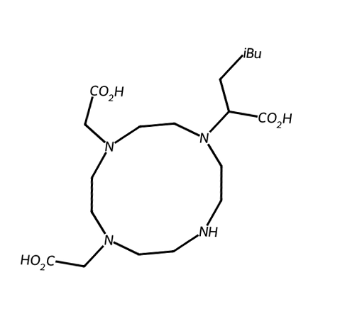 CCC(C)CC(C(=O)O)N1CCNCCN(CC(=O)O)CCN(CC(=O)O)CC1